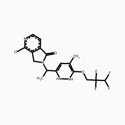 CC1=C(OCC(F)(F)C(F)F)NNC(C(C)N2Cc3c(ccnc3Cl)C2=O)=C1